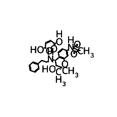 CC1(C)Oc2cc(NS(C)(=O)=O)ccc2[C@H](NCCc2ccccc2)[C@H]1O.O=C(O)/C=C\C(=O)O